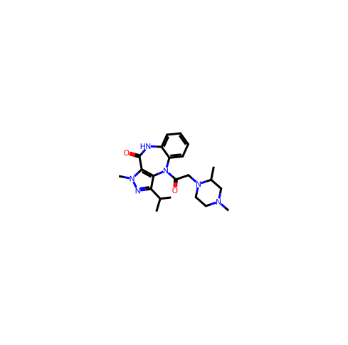 CC(C)c1nn(C)c2c1N(C(=O)CN1CCN(C)CC1C)c1ccccc1NC2=O